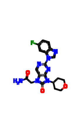 NC(=O)Cn1c(=O)n(C2CCOCC2)c2nc(-n3cnc4ccc(F)cc43)ncc21